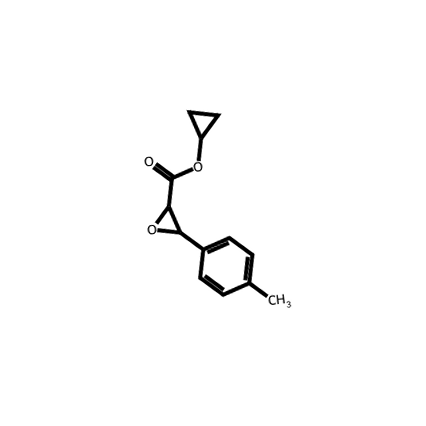 Cc1ccc(C2OC2C(=O)OC2CC2)cc1